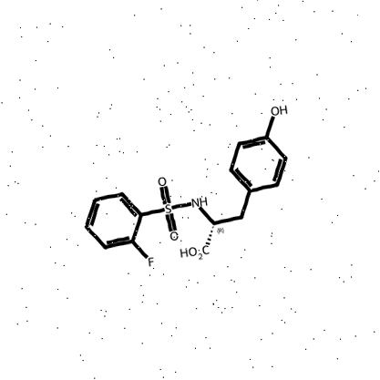 O=C(O)[C@@H](Cc1ccc(O)cc1)NS(=O)(=O)c1ccccc1F